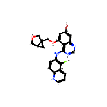 Fc1c(Nc2ncnc3cc(Br)cc(OCC45COCC4C5)c23)ccc2ncccc12